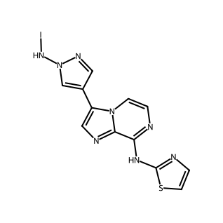 INn1cc(-c2cnc3c(Nc4nccs4)nccn23)cn1